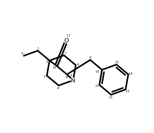 CCC12CCN(CC1)C(Cc1ccccc1)C2=O